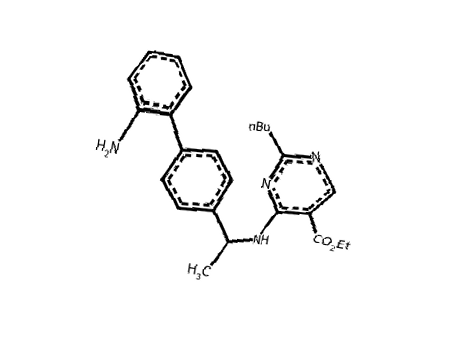 CCCCc1ncc(C(=O)OCC)c(NC(C)c2ccc(-c3ccccc3N)cc2)n1